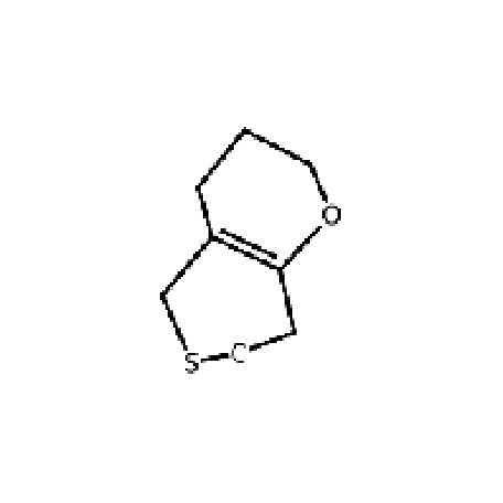 C1COC2=C(C1)CSCC2